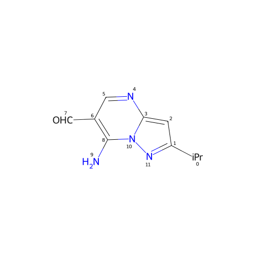 CC(C)c1cc2ncc(C=O)c(N)n2n1